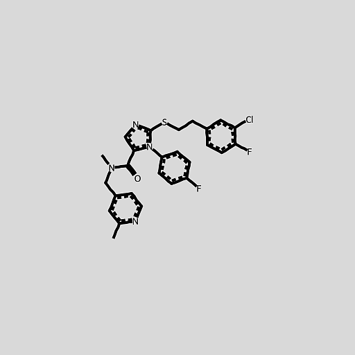 Cc1cc(CN(C)C(=O)c2cnc(SCCc3ccc(F)c(Cl)c3)n2-c2ccc(F)cc2)ccn1